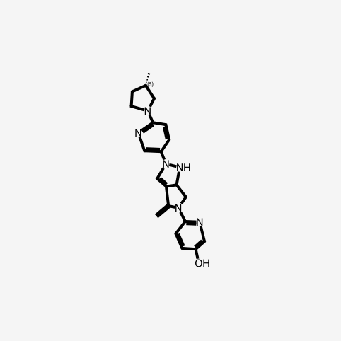 C=C1C2=CN(c3ccc(N4CC[C@H](C)C4)nc3)NC2CN1c1ccc(O)cn1